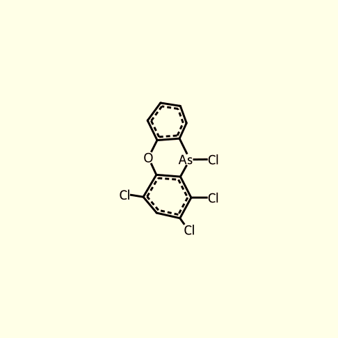 Clc1cc(Cl)c2c(c1Cl)[As](Cl)c1ccccc1O2